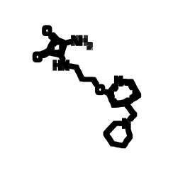 Nc1c(NCCCOc2cc(CN3CCCCC3)ccn2)c(=O)c1=O